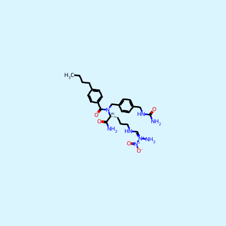 CCCCc1ccc(C(=O)N(Cc2ccc(CNC(N)=O)cc2)[C@H](CCCNC=[N+](N)[N+](=O)[O-])C(N)=O)cc1